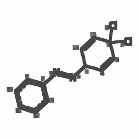 ClC1(Cl)C=CC(N=Nc2ccccc2)C=C1